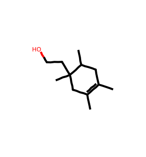 CC1=C(C)CC(C)(CCO)C(C)C1